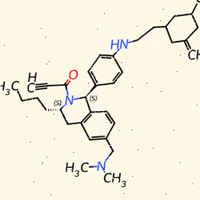 C#CC(=O)N1[C@@H](CCCC)Cc2cc(CN(C)C)ccc2[C@@H]1c1ccc(NCCC2CC(=C)CC(C)C2)cc1